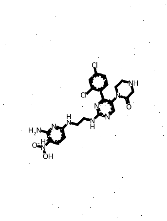 Nc1nc(NCCNc2ncc(N3CCNCC3=O)c(-c3ccc(Cl)cc3Cl)n2)ccc1[NH+]([O-])O